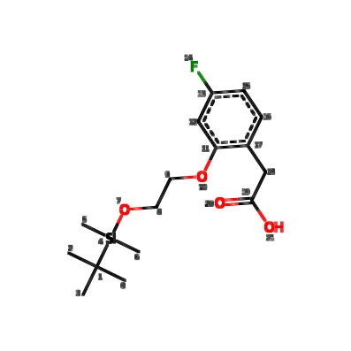 CC(C)(C)[Si](C)(C)OCCOc1cc(F)ccc1CC(=O)O